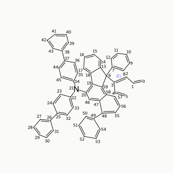 C=C/C=C(\C=C)C1(c2ccccc2)c2ccccc2-c2c(N(c3ccc(-c4ccccc4)cc3)c3ccc(-c4ccccc4)cc3)cc3c(-c4ccccc4)cccc3c21